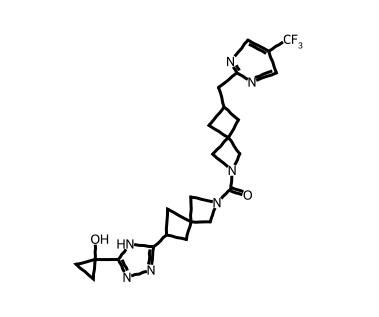 O=C(N1CC2(CC(Cc3ncc(C(F)(F)F)cn3)C2)C1)N1CC2(CC(c3nnc(C4(O)CC4)[nH]3)C2)C1